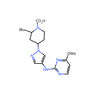 COc1ccnc(Nc2cnn(C3CCN(C(=O)O)C(C(C)(C)C)C3)c2)n1